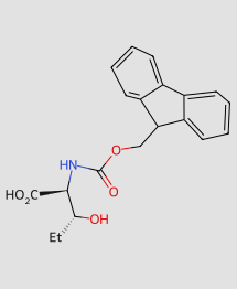 CC[C@@H](O)[C@H](NC(=O)OCC1c2ccccc2-c2ccccc21)C(=O)O